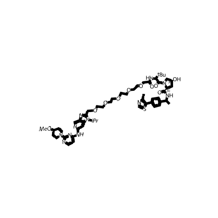 COC1CCN(c2nccc(Nc3cc4c(cn3)nc(COCCOCCOCCOCCOCC(=O)NC(C(=O)N3C[C@H](O)C[C@H]3C(=O)NC(C)c3ccc(-c5scnc5C)cc3)C(C)(C)C)n4C(C)C)n2)CC1